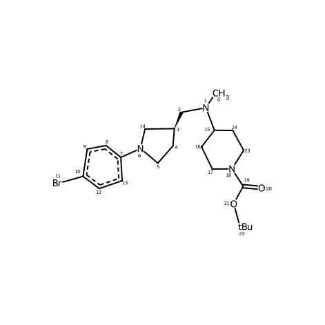 CN(C[C@H]1CCN(c2ccc(Br)cc2)C1)C1CCN(C(=O)OC(C)(C)C)CC1